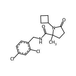 CC1(C(=O)NCc2ccc(Cl)cc2Cl)CCC(=O)N1C1CCC1